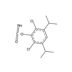 CC(C)c1cc(C(C)C)c(Cl)c(Cl)c1Cl.N=C=O